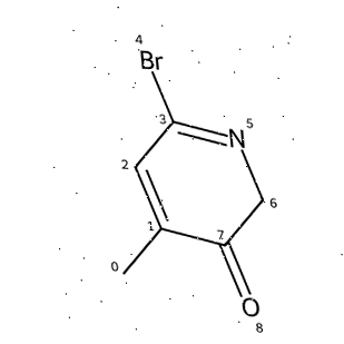 CC1=CC(Br)=NCC1=O